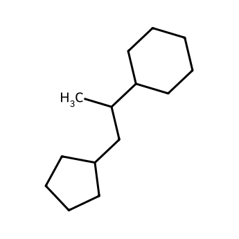 CC(CC1CCCC1)C1CCCCC1